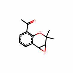 CC(=O)c1cccc2c1OC(C)(C)C1OC21